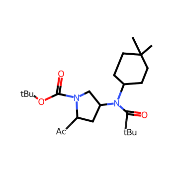 CC(=O)C1CC(N(C(=O)C(C)(C)C)C2CCC(C)(C)CC2)CN1C(=O)OC(C)(C)C